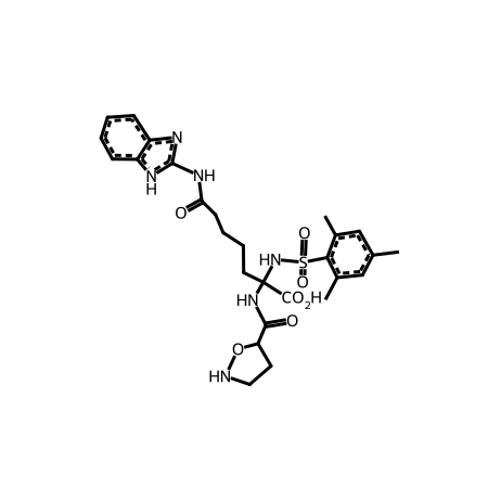 Cc1cc(C)c(S(=O)(=O)NC(CCCCC(=O)Nc2nc3ccccc3[nH]2)(NC(=O)C2CCNO2)C(=O)O)c(C)c1